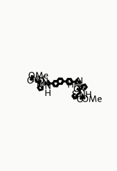 COC(=O)NCC(=O)N1CCC[C@H]1c1ncc(-c2ccc3cc(-c4ccc(-c5cnc([C@@H]6CCCN6C(=O)[C@H](NC(=O)OC)c6cccs6)[nH]5)cc4)ccc3c2)[nH]1